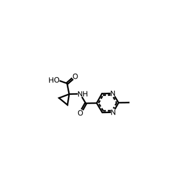 Cc1ncc(C(=O)NC2(C(=O)O)CC2)cn1